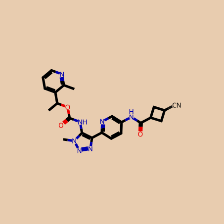 Cc1ncccc1C(C)OC(=O)Nc1c(-c2ccc(NC(=O)C3CC(C#N)C3)cn2)nnn1C